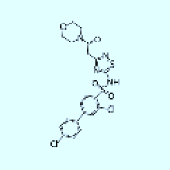 O=C(Cc1nsc(NS(=O)(=O)c2ccc(-c3ccc(Cl)cc3)cc2Cl)n1)N1CCOCC1